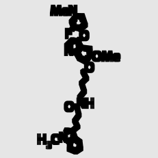 CNc1ccc(Oc2ccnc3cc(OCCCCCNC(=O)CCCc4cn(C)c5ccccc45)c(OC)cc23)c(F)c1